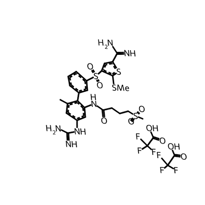 CSc1sc(C(=N)N)cc1S(=O)(=O)c1cccc(-c2c(C)cc(NC(=N)N)cc2NC(=O)CCCS(C)(=O)=O)c1.O=C(O)C(F)(F)F.O=C(O)C(F)(F)F